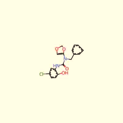 O=C(Nc1cc(Cl)ccc1O)N(Cc1ccccc1)C1=COCO1